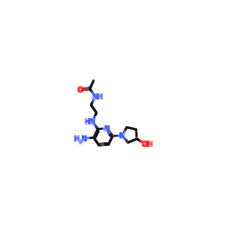 CC(=O)NCCNc1nc(N2CCC(O)C2)ccc1N